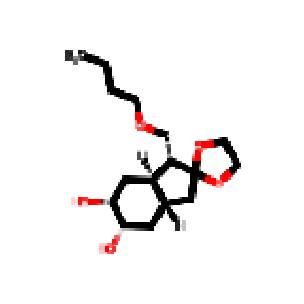 CCCCOC[C@H]1[C@@H]2C[C@H](O)[C@@H](O)C[C@H]2CC12OCCO2